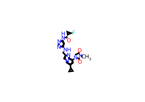 CN1C(=O)CN(c2cc(C3CC3)cn3cc(CNc4cc(NC(=O)[C@H]5C[C@H]5F)ncn4)nc23)C1=O